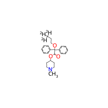 [2H]C([2H])([2H])CCOC(C(=O)OC1CCN(C)CC1)(c1ccccc1)c1ccccc1